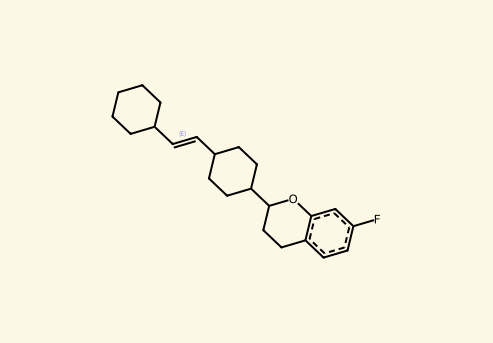 Fc1ccc2c(c1)OC(C1CCC(/C=C/C3CCCCC3)CC1)CC2